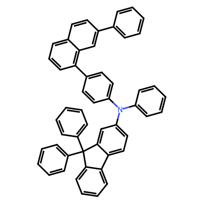 c1ccc(-c2ccc3cccc(-c4ccc(N(c5ccccc5)c5ccc6c(c5)C(c5ccccc5)(c5ccccc5)c5ccccc5-6)cc4)c3c2)cc1